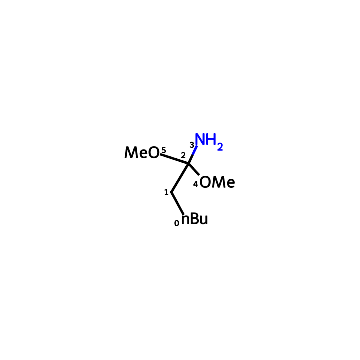 CCCCCC(N)(OC)OC